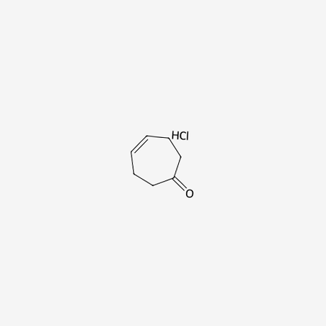 Cl.O=C1CCC=CCC1